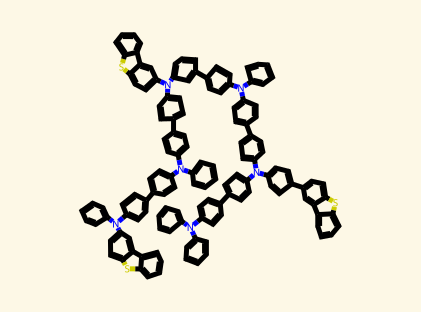 c1ccc(N(c2ccccc2)c2ccc(-c3ccc(N(c4ccc(-c5ccc(N(c6ccccc6)c6ccc(-c7cccc(N(c8ccc(-c9ccc(N(c%10ccccc%10)c%10ccc(-c%11ccc(N(c%12ccccc%12)c%12ccc%13sc%14ccccc%14c%13c%12)cc%11)cc%10)cc9)cc8)c8ccc9sc%10ccccc%10c9c8)c7)cc6)cc5)cc4)c4ccc(-c5ccc6sc7ccccc7c6c5)cc4)cc3)cc2)cc1